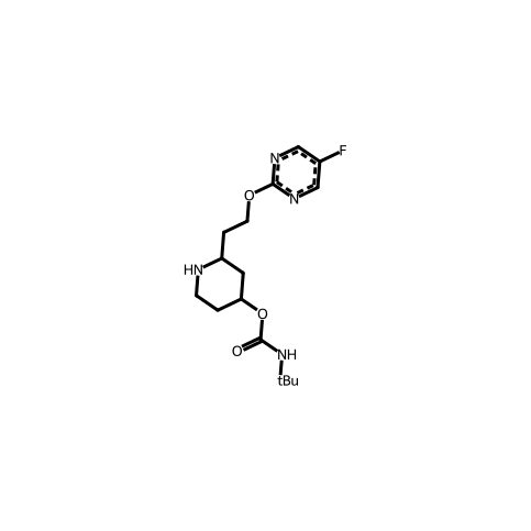 CC(C)(C)NC(=O)OC1CCNC(CCOc2ncc(F)cn2)C1